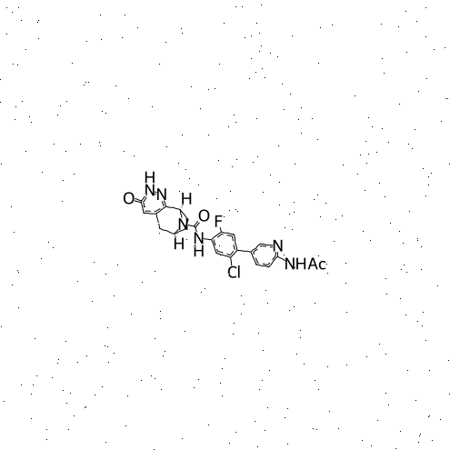 CC(=O)Nc1ccc(-c2cc(F)c(NC(=O)N3[C@H]4CC[C@@H]3c3n[nH]c(=O)cc3C4)cc2Cl)cn1